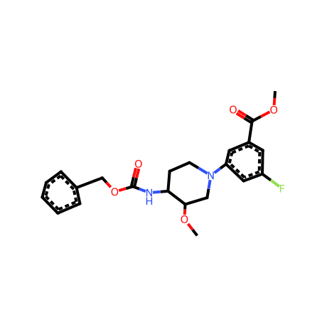 COC(=O)c1cc(F)cc(N2CCC(NC(=O)OCc3ccccc3)C(OC)C2)c1